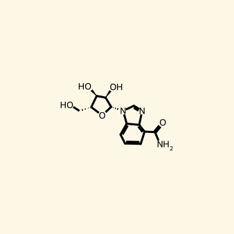 NC(=O)c1cccc2c1ncn2[C@@H]1O[C@H](CO)[C@@H](O)[C@H]1O